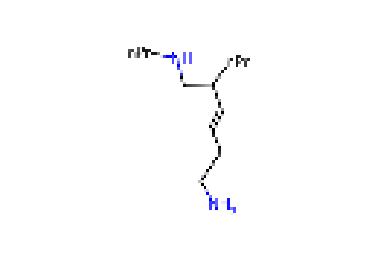 CCCNCC(/C=C/CCN)CCC